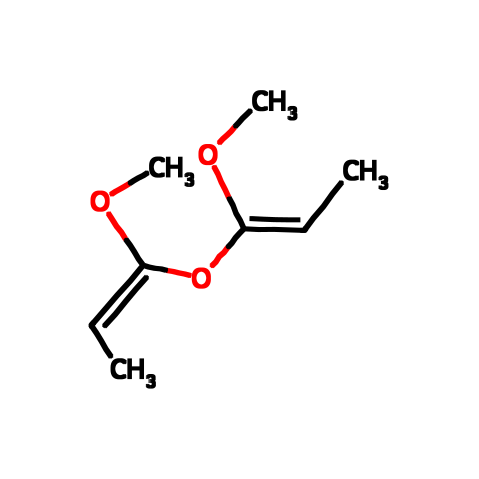 CC=C(OC)OC(=CC)OC